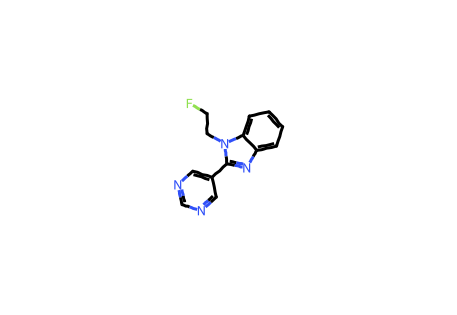 FCCn1c(-c2cncnc2)nc2ccccc21